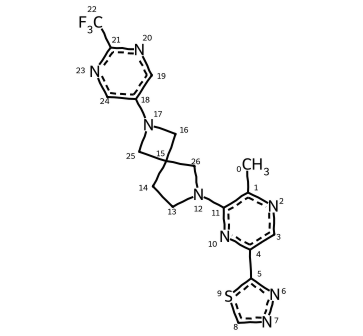 Cc1ncc(-c2nncs2)nc1N1CCC2(CN(c3cnc(C(F)(F)F)nc3)C2)C1